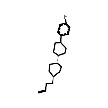 C=CCC[C@H]1CC[C@H](C2CCC(c3ccc(F)cc3)CC2)CC1